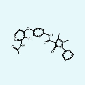 CC(=O)Nc1nccc(Oc2ccc(NC(=O)c3c(C)n(C)n(-c4ccccc4)c3=O)cc2)c1Cl